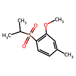 COc1cc(C)ccc1S(=O)(=O)C(C)C